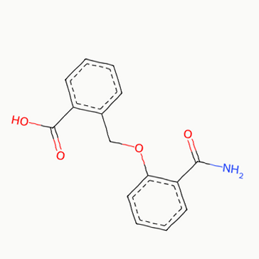 NC(=O)c1ccccc1OCc1ccccc1C(=O)O